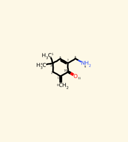 C=C1CC(C)(C)C=C(CN)C1=O